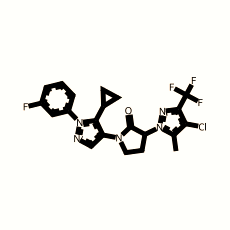 Cc1c(Cl)c(C(F)(F)F)nn1C1CCN(c2cnn(-c3cccc(F)c3)c2C2CC2)C1=O